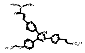 CCCCCCN(CCCCCC)C(=O)C=Cc1ccc(-c2[nH]c(-c3ccc(C=CC(=O)OCC)cc3)nc2-c2ccc(OCC(=O)O)cc2)cc1